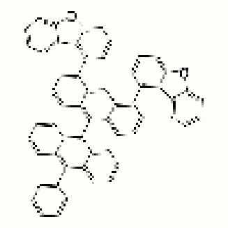 c1ccc(-c2c3ccccc3c(-c3c4cccc(-c5cccc6oc7ccccc7c56)c4cc4c(-c5cccc6oc7ccccc7c56)cccc34)c3ccccc23)cc1